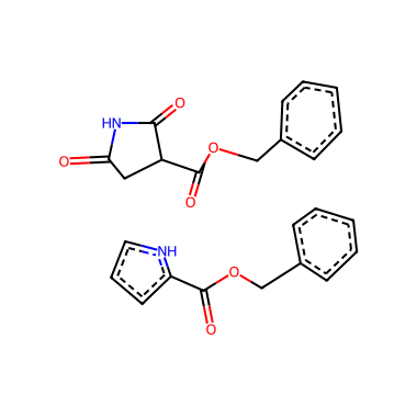 O=C(OCc1ccccc1)c1ccc[nH]1.O=C1CC(C(=O)OCc2ccccc2)C(=O)N1